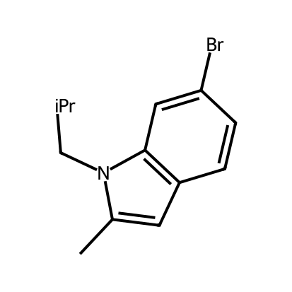 Cc1cc2ccc(Br)cc2n1CC(C)C